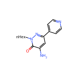 CCCCCCn1nc(-c2ccncc2)cc(N)c1=O